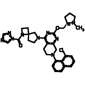 CN1CCC[C@H]1COc1nc2c(c(N3CCC4(CCN4C(=O)n4cncn4)C3)n1)CCN(c1cccc3cccc(Cl)c13)C2